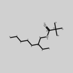 CCCCCC(CC)COC(=O)C(C)(C)C